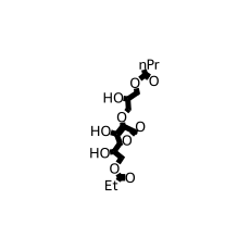 CCCC(=O)OCC(O)COC1=C(O)C(C(O)COC(=O)CC)OC1=O